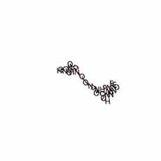 COc1cc(C(=O)NC2CCN(CCOCCOCCNc3cccc4c3CN(C3CCC(=O)NC3=O)C4=O)CC2)ccc1Nc1ncc2c(n1)N(C1CCCC1)CC(F)(F)C(=O)N2C